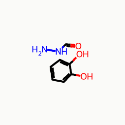 NNC=O.Oc1ccccc1O